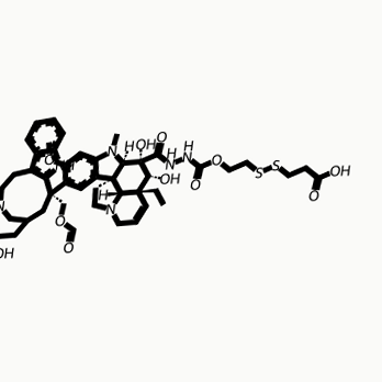 CC[C@]1(O)CC2CN(CCc3c([nH]c4ccccc34)[C@@](COC=O)(c3cc4c(cc3OC)N(C)[C@H]3[C@@](O)(C(=O)NNC(=O)OCCSSCCC(=O)O)[C@H](O)[C@]5(CC)C=CCN6CC[C@]43[C@@H]65)C2)C1